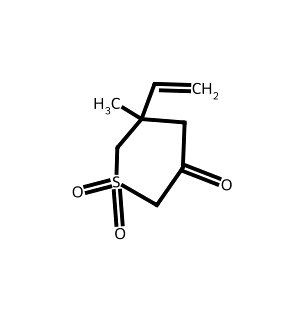 C=CC1(C)CC(=O)CS(=O)(=O)C1